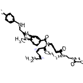 C=C(/C=C\C=C/N)N(CCC(=O)NCCNC(=O)OC(C)(C)C)C(=O)c1ccc2c(c1)nc(CNc1ccc(C#N)cc1)n2C